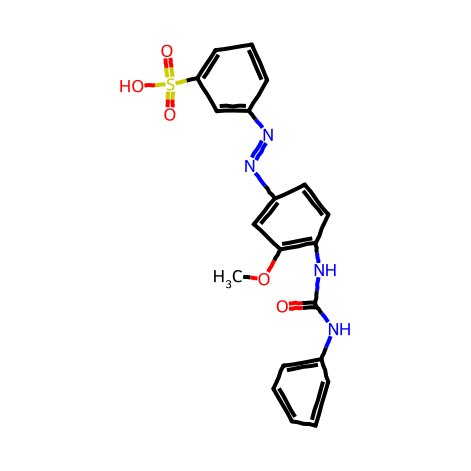 COc1cc(/N=N/c2cccc(S(=O)(=O)O)c2)ccc1NC(=O)Nc1ccccc1